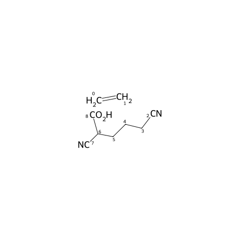 C=C.N#CCCCC(C#N)C(=O)O